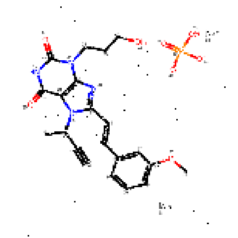 C#CC(C)n1c(/C=C/c2cccc(OC)c2)nc2c1c(=O)[nH]c(=O)n2CCCO.O=P([O-])([O-])O.[Na+].[Na+]